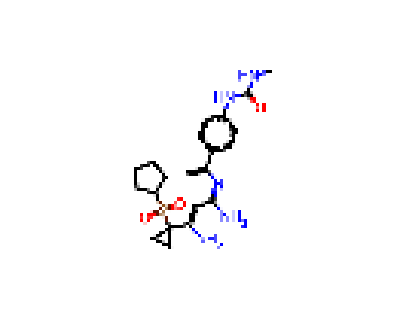 C=C(/N=C(N)\C=C(/N)C1(S(=O)(=O)C2CCCC2)CC1)c1ccc(NC(=O)NC)cc1